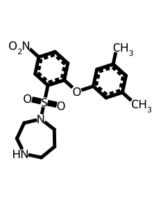 Cc1cc(C)cc(Oc2ccc([N+](=O)[O-])cc2S(=O)(=O)N2CCCNCC2)c1